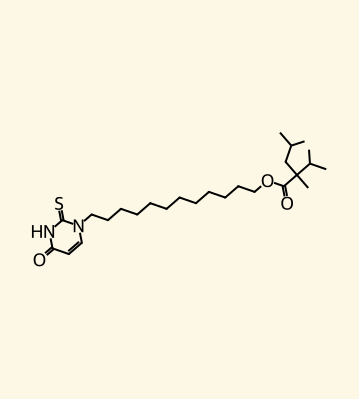 CC(C)CC(C)(C(=O)OCCCCCCCCCCCCn1ccc(=O)[nH]c1=S)C(C)C